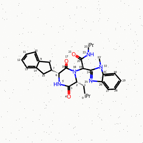 CC(C)C[C@@H]1C(=O)N[C@H](C2Cc3ccccc3C2)C(=O)N1C(C(=O)NC(C)C)c1nc2ccccc2n1C